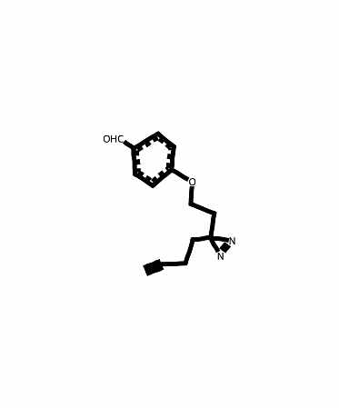 C#CCCC1(CCOc2ccc(C=O)cc2)N=N1